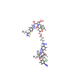 Cc1ncsc1-c1ccc(CNC(=O)C2C[C@@H](O)CN2C(=O)C(CC(=O)COCCCCCNc2ccc(C(=O)N[C@H]3C(C)(C)[C@H](Oc4ccc(C#N)c(Cl)c4)C3(C)C)cc2)C(C)C)cc1